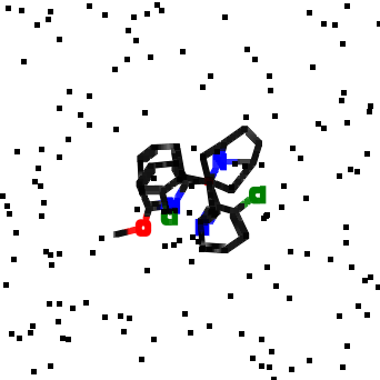 COc1cccc(C2(C#N)CC3CCC(C2)N3C(c2ccccc2Cl)c2ccccc2Cl)n1